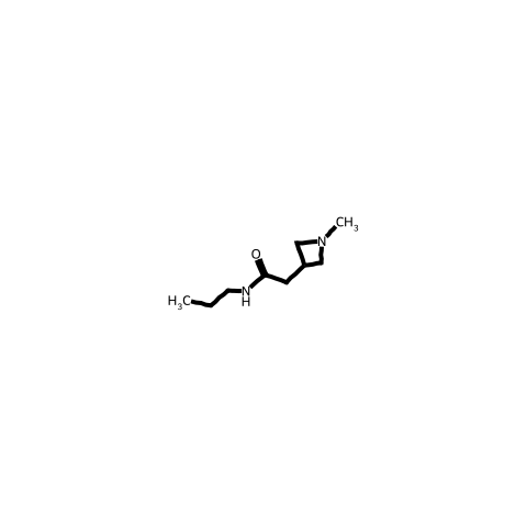 CCCNC(=O)CC1CN(C)C1